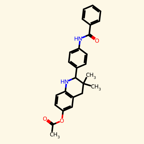 CC(=O)Oc1ccc2c(c1)CC(C)(C)C(c1ccc(NC(=O)c3ccccc3)cc1)N2